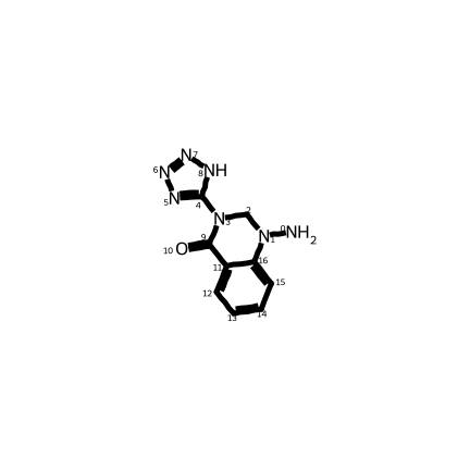 NN1CN(c2nnn[nH]2)C(=O)c2ccccc21